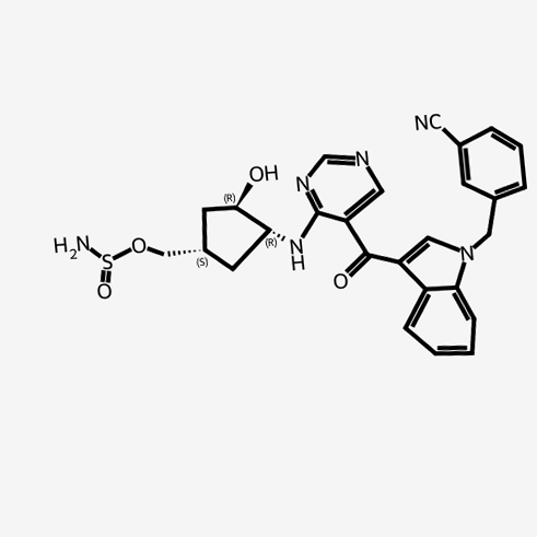 N#Cc1cccc(Cn2cc(C(=O)c3cncnc3N[C@@H]3C[C@H](COS(N)=O)C[C@H]3O)c3ccccc32)c1